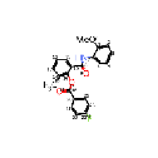 COc1ccccc1NC(=O)c1cccc(C(F)(F)F)c1OC(=O)c1ccc(F)cc1